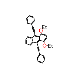 CCOc1ccc(OCC)c2c(C#Cc3ccccc3)c3ccccc3c(C#Cc3ccccc3)c12